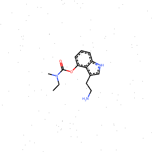 CCN(C)C(=O)Oc1cccc2[nH]cc(CCN)c12